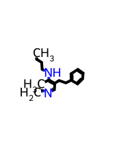 C=C/N=C\C(CCc1ccccc1)=C(/C)NCCCC